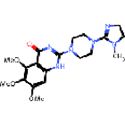 COc1cc2[nH]c(N3CCN(C4=NCCN4C)CC3)nc(=O)c2c(OC)c1OC